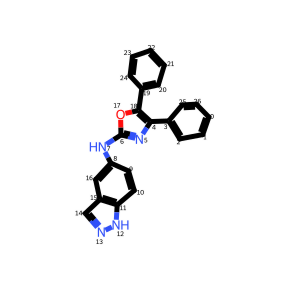 c1ccc(-c2nc(Nc3ccc4[nH]ncc4c3)oc2-c2ccccc2)cc1